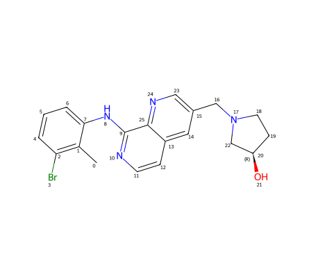 Cc1c(Br)cccc1Nc1nccc2cc(CN3CC[C@@H](O)C3)cnc12